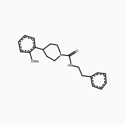 COc1ccccc1C1CCN(C(=O)NCCc2ccccc2)CC1